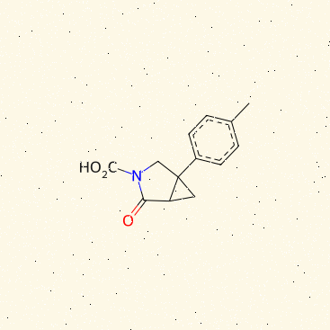 Cc1ccc(C23CC2C(=O)N(C(=O)O)C3)cc1